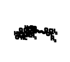 C#C[C@]1(C)[C@@H]2O[P@](=O)(OCCCCC(=O)OC(C)C)OC[C@H]2O[C@H]1n1ccc(=O)[nH]c1=O